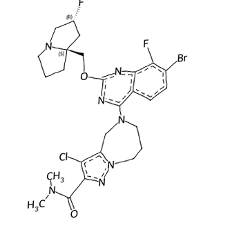 CN(C)C(=O)c1nn2c(c1Cl)CN(c1nc(OC[C@@]34CCCN3C[C@H](F)C4)nc3c(F)c(Br)ccc13)CCC2